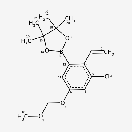 C=Cc1c(Cl)cc(OCOC)cc1B1OC(C)(C)C(C)(C)O1